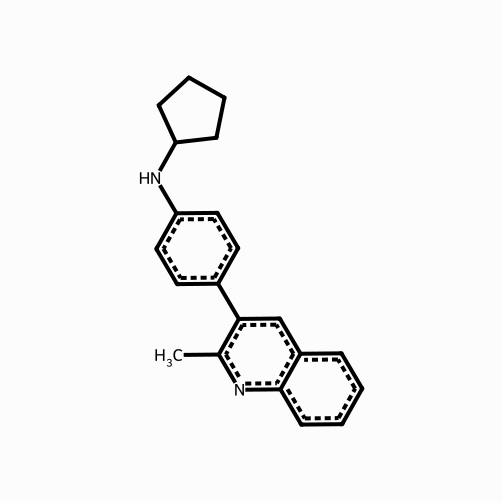 Cc1nc2ccccc2cc1-c1ccc(NC2CCCC2)cc1